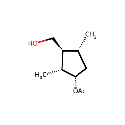 CC(=O)O[C@H]1C[C@@H](C)[C@H](CO)[C@H]1C